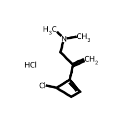 C=C(CN(C)C)C1=CCC1Cl.Cl